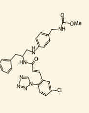 COC(=O)NCc1ccc(NCC(Cc2ccccc2)NC(=O)C=Cc2cc(Cl)ccc2-n2cnnn2)cc1